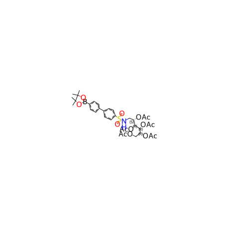 CC(=O)OC[C@@H](OC(C)=O)[C@@H](OC(C)=O)[C@H](OC(C)=O)[C@H](CNS(=O)(=O)c1ccc(-c2ccc(B3OC(C)(C)C(C)(C)O3)cc2)cc1)OC(C)=O